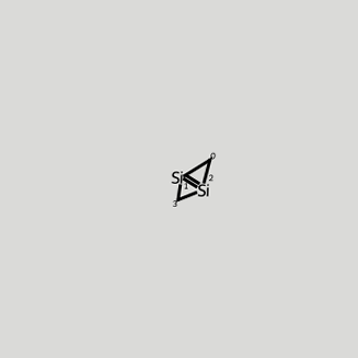 C1[Si]2=[Si]1C2